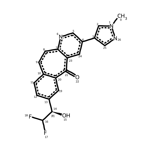 Cn1cc(-c2cnc3ccc4ccc([C@@H](O)C(F)F)cc4c(=O)c3c2)cn1